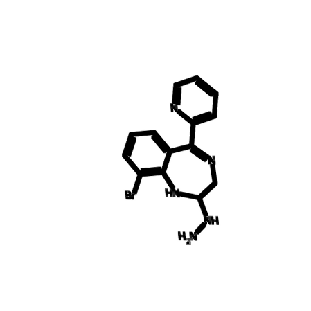 NNC1CN=C(c2ccccn2)c2cccc(Br)c2N1